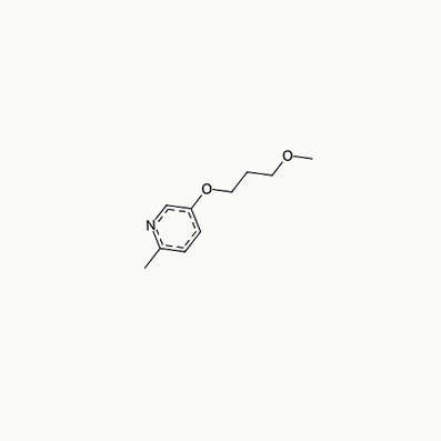 COCCCOc1ccc(C)nc1